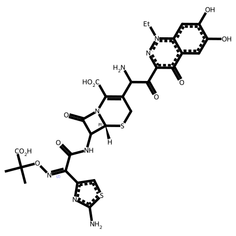 CCn1nc(C(=O)C(N)C2=C(C(=O)O)N3C(=O)C(NC(=O)/C(=N\OC(C)(C)C(=O)O)c4csc(N)n4)[C@H]3SC2)c(=O)c2cc(O)c(O)cc21